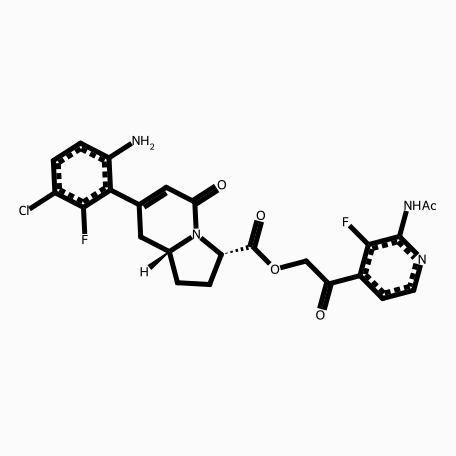 CC(=O)Nc1nccc(C(=O)COC(=O)[C@@H]2CC[C@@H]3CC(c4c(N)ccc(Cl)c4F)=CC(=O)N32)c1F